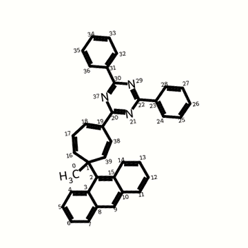 CC1(c2c3ccccc3cc3ccccc23)C=CC=C(c2nc(-c3ccccc3)nc(-c3ccccc3)n2)C=C1